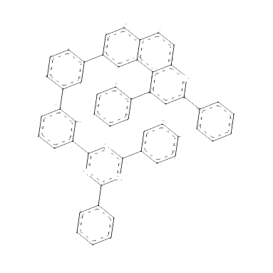 c1ccc(-c2cc(-c3ccccc3)c3c(ccc4ccc(-c5cccc(-c6cccc(-c7nc(-c8ccccc8)nc(-c8ccccc8)n7)c6)c5)cc43)n2)cc1